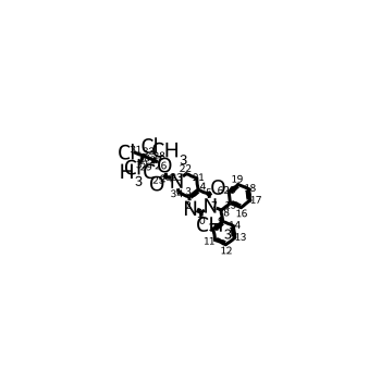 Cc1nc2c(c(=O)n1C(c1ccccc1)c1ccccc1)CCN(C(=O)OC(C)(C)C(Cl)(Cl)Cl)C2